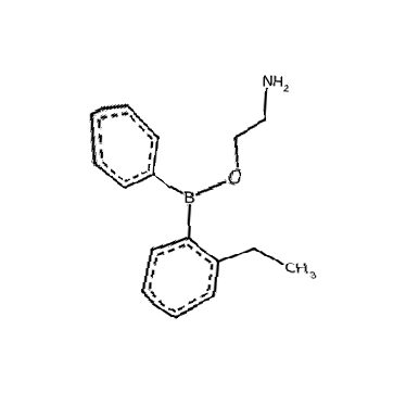 CCc1ccccc1B(OCCN)c1ccccc1